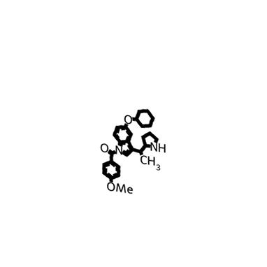 COc1ccc(C(=O)n2cc(C(C)C3CCCN3)c3cc(OC4CCCCC4)ccc32)cc1